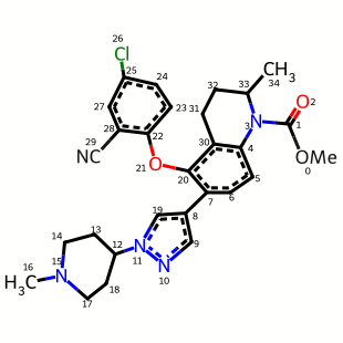 COC(=O)N1c2ccc(-c3cnn(C4CCN(C)CC4)c3)c(Oc3ccc(Cl)cc3C#N)c2CCC1C